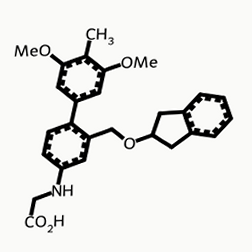 COc1cc(-c2ccc(NCC(=O)O)cc2COC2Cc3ccccc3C2)cc(OC)c1C